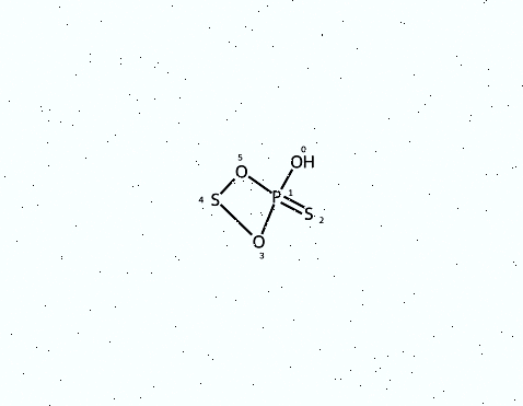 OP1(=S)OSO1